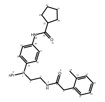 CCCN(CCNC(=O)Cc1ccccc1C)c1ccc(NC(=O)C2CCCC2)cc1